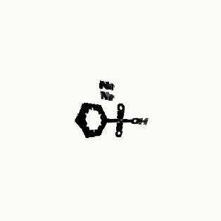 O=S(=O)(O)c1ccccc1.[Na].[Na]